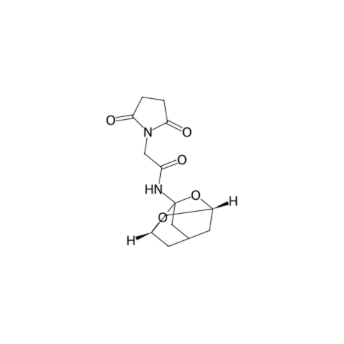 O=C(CN1C(=O)CCC1=O)NC12CC3C[C@H](C[C@H](C3)O1)O2